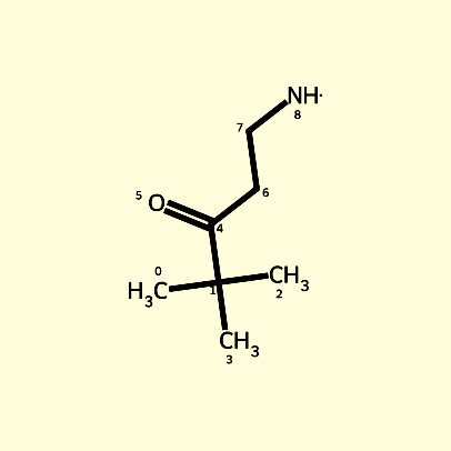 CC(C)(C)C(=O)CC[NH]